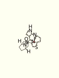 O=C(c1csc2ccccc12)N1[C@H]2CC[C@H]1CN(c1ncnc3[nH]ccc13)C2